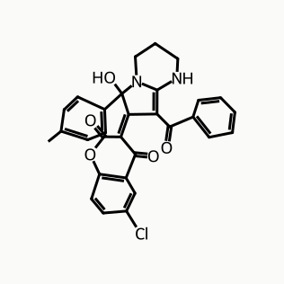 Cc1ccc(C2(O)C(=C3C(=O)Oc4ccc(Cl)cc4C3=O)C(C(=O)c3ccccc3)=C3NCCCN32)cc1